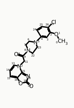 COc1cc(N2CCN(C(=O)Cn3cccc4oc(=O)nc3-4)CC2)ccc1Cl